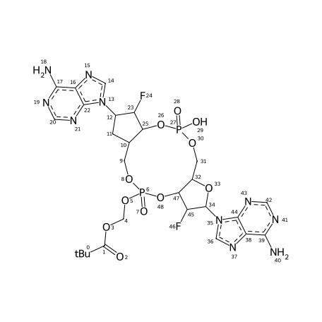 CC(C)(C)C(=O)OCOP1(=O)OCC2CC(n3cnc4c(N)ncnc43)C(F)C2OP(=O)(O)OCC2OC(n3cnc4c(N)ncnc43)C(F)C2O1